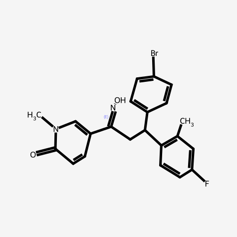 Cc1cc(F)ccc1C(C/C(=N\O)c1ccc(=O)n(C)c1)c1ccc(Br)cc1